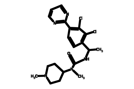 CC(NC(=O)N(C)C1CCN(C)CC1)c1ccc(-c2ncccn2)c(Cl)c1Cl